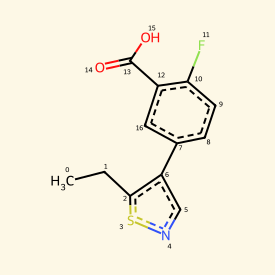 CCc1sncc1-c1ccc(F)c(C(=O)O)c1